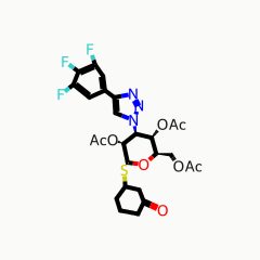 CC(=O)OC[C@H]1O[C@H](SC2CCCC(=O)C2)[C@H](OC(C)=O)[C@@H](n2cc(-c3cc(F)c(F)c(F)c3)nn2)[C@H]1OC(C)=O